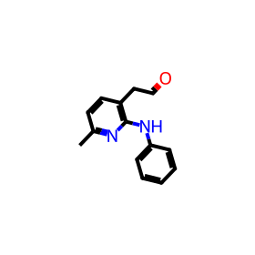 Cc1ccc(CC=O)c(Nc2ccccc2)n1